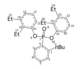 CCCCc1ccccc1P(=O)(Oc1cccc(CC)c1CC)Oc1cccc(CC)c1CC